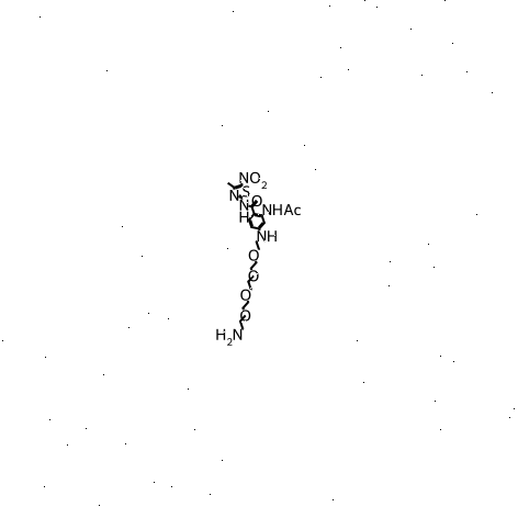 CC(=O)Nc1cc(NCCOCCOCCOCCOCCN)ccc1C(=O)Nc1nc(C)c([N+](=O)[O-])s1